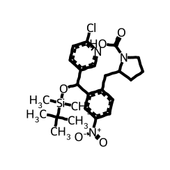 CC(C)(C)[Si](C)(C)OC(c1ccc(Cl)nc1)c1cc([N+](=O)[O-])ccc1CC1CCCN1C(=O)O